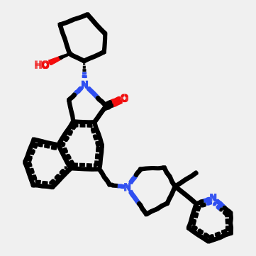 CC1(c2ccccn2)CCN(Cc2cc3c(c4ccccc24)CN([C@H]2CCCC[C@@H]2O)C3=O)CC1